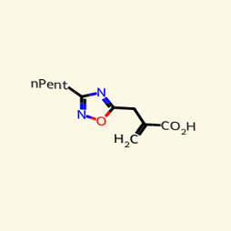 C=C(Cc1nc(CCCCC)no1)C(=O)O